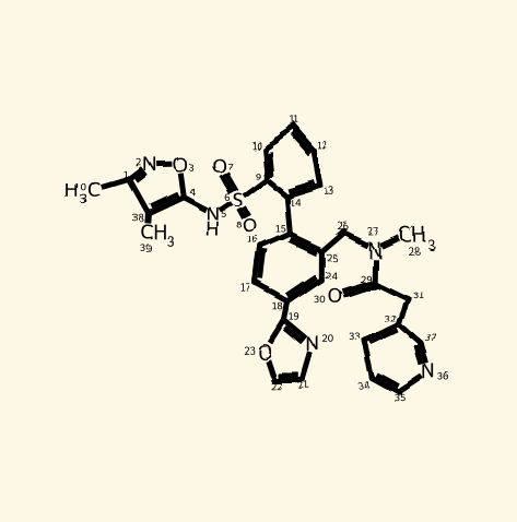 Cc1noc(NS(=O)(=O)c2ccccc2-c2ccc(-c3ncco3)cc2CN(C)C(=O)Cc2cccnc2)c1C